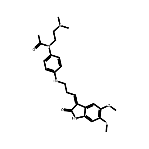 COc1cc2c(cc1OC)C(=CCCNc1ccc(N(CCN(C)C)C(C)=O)cc1)C(=O)N2